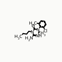 CCCCN(C(=N)N)C(=O)N(C)c1c(C)cccc1Cl